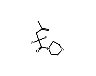 [CH2]C(=C)CC(F)(F)C(=O)N1CCOCC1